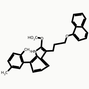 Cc1ccc(C)c(-c2cccc3c(CCCOc4cccc5ccccc45)c(OC(=O)O)[nH]c23)c1